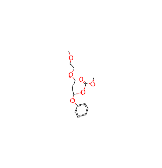 COCCOCCC(OC(=O)OC)Oc1ccccc1